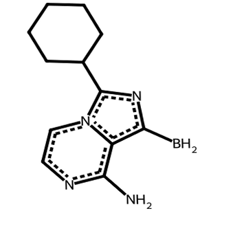 Bc1nc(C2CCCCC2)n2ccnc(N)c12